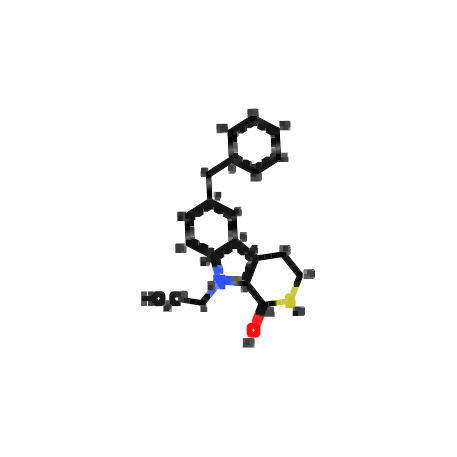 O=C(O)Cn1c2c(c3cc(Cc4ccccc4)ccc31)CCSC2=O